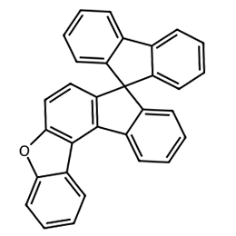 c1ccc2c(c1)-c1ccccc1C21c2ccccc2-c2c1ccc1oc3ccccc3c21